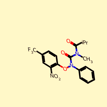 CC(C)C(=O)N(C)C(=O)N(Oc1ccc(C(F)(F)F)cc1[N+](=O)[O-])c1ccccc1